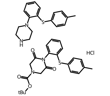 Cc1ccc(Sc2ccccc2N2C(=O)CN(C(=O)OC(C)(C)C)CC2=O)cc1.Cc1ccc(Sc2ccccc2N2CCNCC2)cc1.Cl